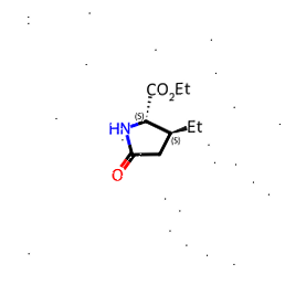 CCOC(=O)[C@H]1NC(=O)C[C@@H]1CC